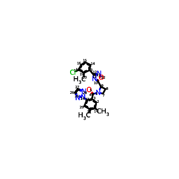 Cc1cc(C(=O)N2CCC2c2nc(-c3cccc(Cl)c3C)no2)c(-n2nccn2)cc1C